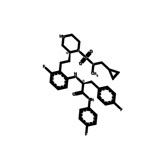 CN(CC1CC1)S(=O)(=O)N1CCNC[C@@H]1CCc1c(F)cccc1N[C@@H](Cc1ccc(F)cc1)C(=O)Nc1ccc(F)cc1